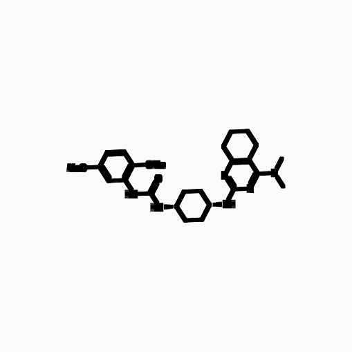 COc1ccc(OC)c(NC(=O)N[C@H]2CC[C@@H](Nc3nc4c(c(N(C)C)n3)CCCC4)CC2)c1